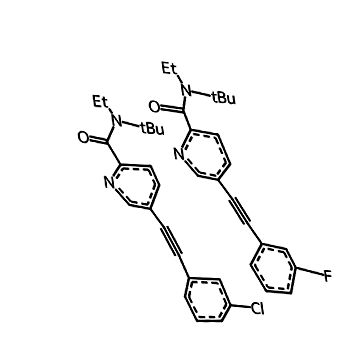 CCN(C(=O)c1ccc(C#Cc2cccc(Cl)c2)cn1)C(C)(C)C.CCN(C(=O)c1ccc(C#Cc2cccc(F)c2)cn1)C(C)(C)C